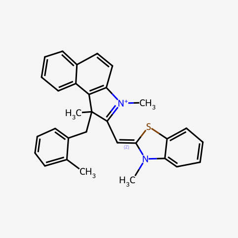 Cc1ccccc1CC1(C)C(/C=C2\Sc3ccccc3N2C)=[N+](C)c2ccc3ccccc3c21